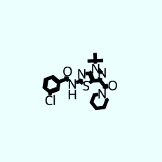 CC(C)(C)n1nc(C(=O)N2CCCCC2)c2sc(NC(=O)c3cccc(Cl)c3)nc21